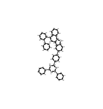 c1ccc(-c2nc(-c3ccccc3)nc(-c3ccc(-c4ccc5oc6c7ccccc7c(-c7ccccc7-c7ccccc7)cc6c5c4)cc3)n2)cc1